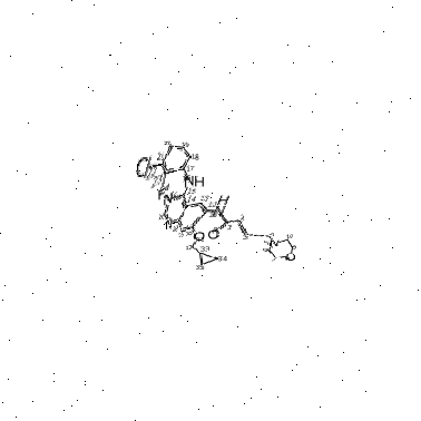 O=C(C=CCN1CCOCC1)Nc1cc2c(Nc3cccc(Cl)c3F)ncnc2cc1OCC1CC1